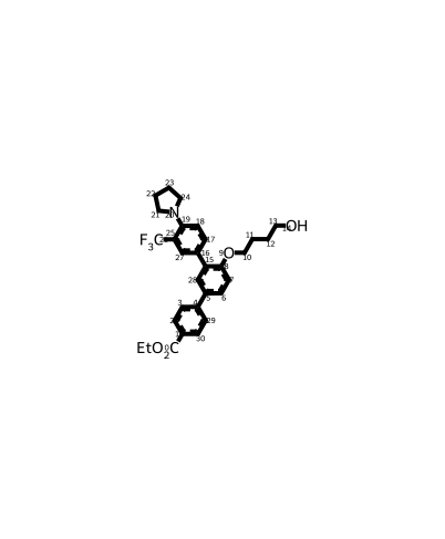 CCOC(=O)c1ccc(-c2ccc(OCCCCO)c(-c3ccc(N4CCCC4)c(C(F)(F)F)c3)c2)cc1